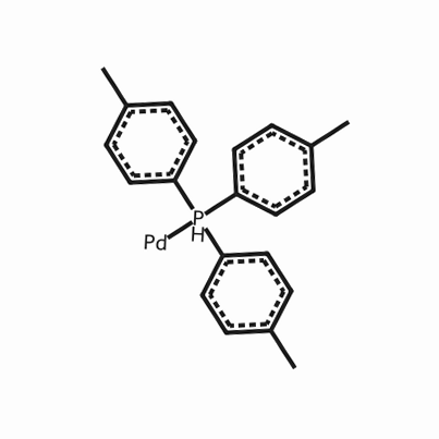 Cc1ccc([PH]([Pd])(c2ccc(C)cc2)c2ccc(C)cc2)cc1